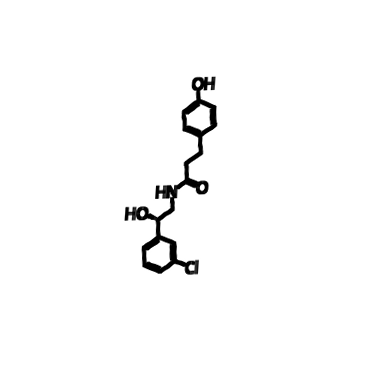 O=C(CCc1ccc(O)cc1)NC[C@H](O)c1cccc(Cl)c1